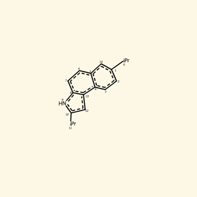 CC(C)c1ccc2c(ccc3[nH]c(C(C)C)cc32)c1